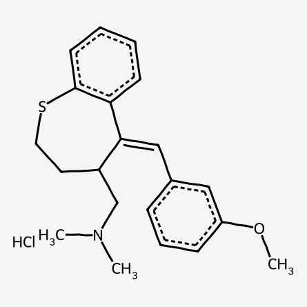 COc1cccc(C=C2c3ccccc3SCCC2CN(C)C)c1.Cl